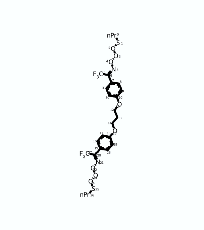 CCCSOOO/N=C(/c1ccc(OCCCOc2ccc(/C(=N/OOOSCCC)C(F)(F)F)cc2)cc1)C(F)(F)F